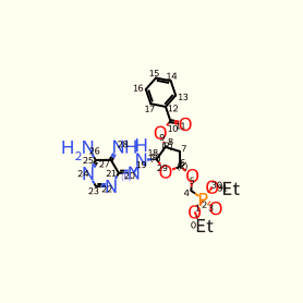 CCOP(=O)(CO[C@@H]1C[C@@H](OC(=O)c2ccccc2)[C@H](N/N=C2/N=CN=C(N)C2=N)O1)OCC